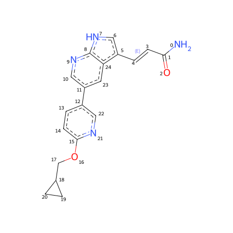 NC(=O)/C=C/c1c[nH]c2ncc(-c3ccc(OCC4CC4)nc3)cc12